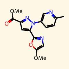 COC(=O)c1cc(-c2ncc(OC)o2)n(-c2ccc(C)nc2)n1